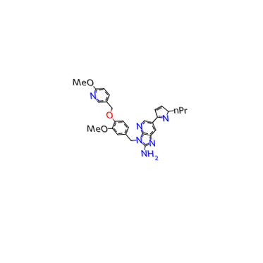 CCCC1C=CC(c2cnc3c(c2)nc(N)n3Cc2ccc(OCc3ccc(OC)nc3)c(OC)c2)=N1